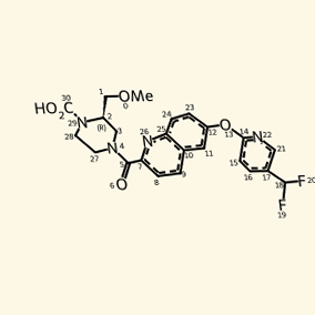 COC[C@H]1CN(C(=O)c2ccc3cc(Oc4ccc(C(F)F)cn4)ccc3n2)CCN1C(=O)O